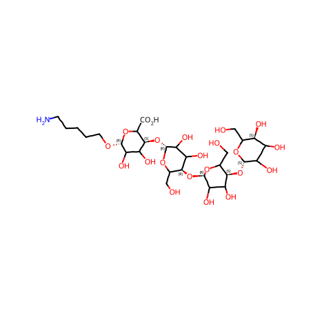 NCCCCCO[C@@H]1OC(C(=O)O)[C@@H](O[C@H]2OC(CO)[C@H](O[C@H]3OC(CO)[C@@H](O[C@@H]4OC(CO)[C@@H](O)C(O)C4O)C(O)C3O)C(O)C2O)C(O)C1O